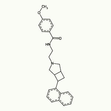 COc1ccc(C(=O)NCCN2CC3CC(c4cccc5ccccc45)C3C2)cc1